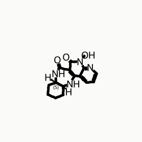 O=C1N[C@H]2CCCC[C@@H]2Nc2c1c(=O)n(O)c1ncccc21